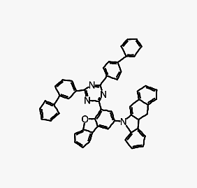 C1=C2C(Cc3ccccc31)c1ccccc1N2c1cc(-c2nc(-c3ccc(-c4ccccc4)cc3)nc(-c3cccc(-c4ccccc4)c3)n2)c2oc3ccccc3c2c1